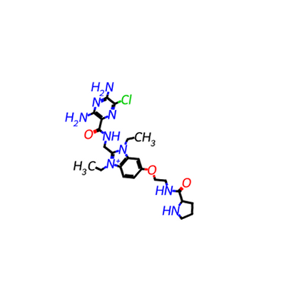 CCn1c(CNC(=O)c2nc(Cl)c(N)nc2N)[n+](CC)c2ccc(OCCNC(=O)C3CCCN3)cc21